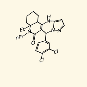 CCCN1C(=O)C2=C(Nc3ccnn3C2c2ccc(Cl)c(Cl)c2)C2CCCCC21CC